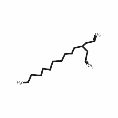 C=CC[C](CC=C)CCCCCCCCCCC